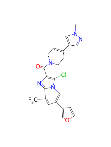 Cn1cc(C2=CCN(C(=O)c3nc4c(C(F)(F)F)cc(-c5ccoc5)cn4c3Cl)CC2)cn1